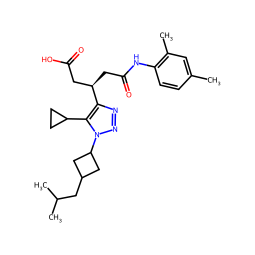 Cc1ccc(NC(=O)C[C@H](CC(=O)O)c2nnn(C3CC(CC(C)C)C3)c2C2CC2)c(C)c1